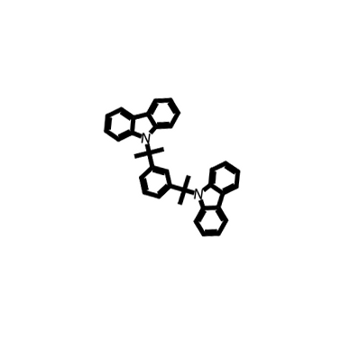 CC(C)(c1cccc(C(C)(C)n2c3ccccc3c3ccccc32)c1)n1c2ccccc2c2ccccc21